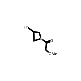 COCC(=O)N1CC(C(C)C)C1